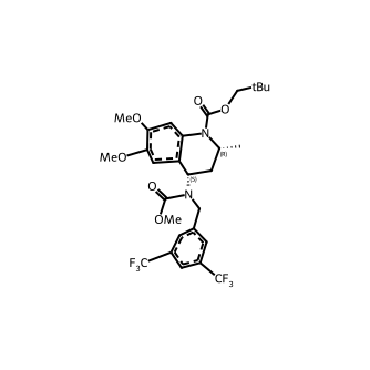 COC(=O)N(Cc1cc(C(F)(F)F)cc(C(F)(F)F)c1)[C@H]1C[C@@H](C)N(C(=O)OCC(C)(C)C)c2cc(OC)c(OC)cc21